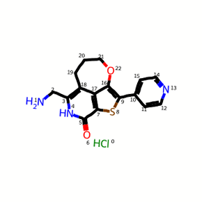 Cl.NCc1[nH]c(=O)c2sc(-c3ccncc3)c3c2c1CCCO3